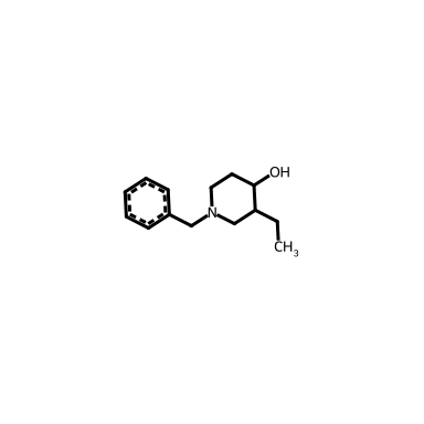 CCC1CN(Cc2ccccc2)CCC1O